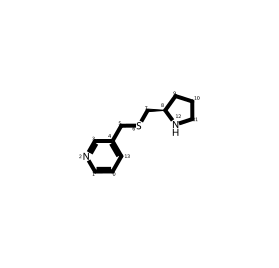 c1cncc(CSC[C@H]2CCCN2)c1